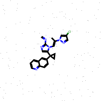 C=Nc1ncc(C2(c3ccc4ncccc4c3)CC2)n1/C=C(\C)n1cc(Cl)cn1